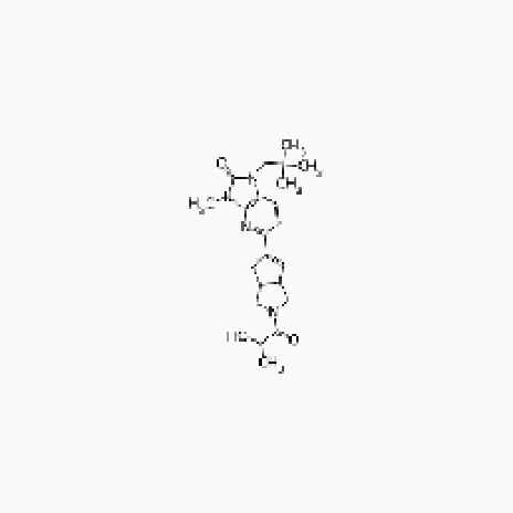 CC(O)C(=O)N1CC2C=C(c3ccc4c(n3)n(C)c(=O)n4CC(C)(C)C)CC2C1